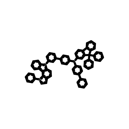 c1ccc(-c2ccc(N(c3ccc(-c4cccc(-n5c6ccccc6c6c7c(ccc65)ccn7-c5ccccc5)c4)cc3)c3ccc4c(c3)C(c3ccccc3)(c3ccccc3)c3ccccc3-4)cc2)cc1